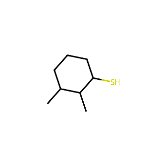 CC1CCCC(S)C1C